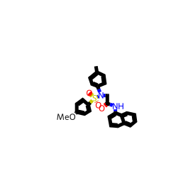 COc1ccc(S(=O)(=O)N(CC(=O)Nc2cccc3ccccc23)c2ccc(C)cc2)cc1